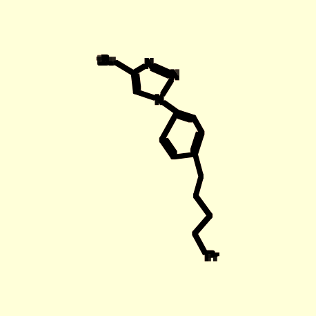 CC(C)CCCCc1ccc(-n2cc(C(C)(C)C)nn2)cc1